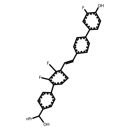 CCCC(O)c1ccc(-c2ccc(/C=C/c3ccc(-c4ccc(O)c(F)c4)cc3)c(F)c2F)cc1